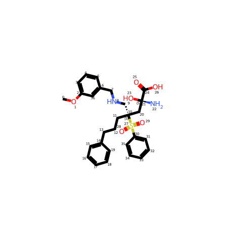 COc1cccc(CNC[C@](CCCc2ccccc2)(C[C@](N)(O)C(=O)O)S(=O)(=O)c2ccccc2)c1